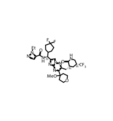 CCn1nccc1C(=O)N[C@H](c1cn2nc(C[C@H]3C[C@@H](C(F)(F)F)CNC3=O)c(C3(OC)CCOCC3)nc2n1)C1CCC(F)(F)CC1